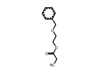 N#CCC(=O)OCCOCc1ccccc1